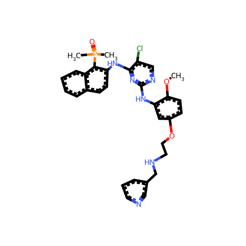 COc1ccc(OCCNCc2cccnc2)cc1Nc1ncc(Cl)c(Nc2ccc3ccccc3c2P(C)(C)=O)n1